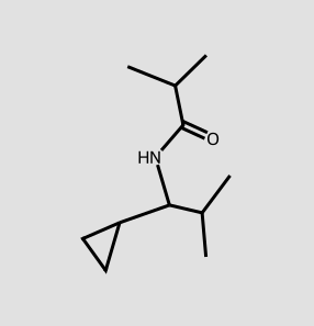 CC(C)C(=O)NC(C(C)C)C1CC1